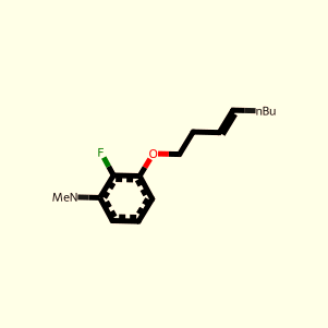 CCCCC=CCCOc1cccc(NC)c1F